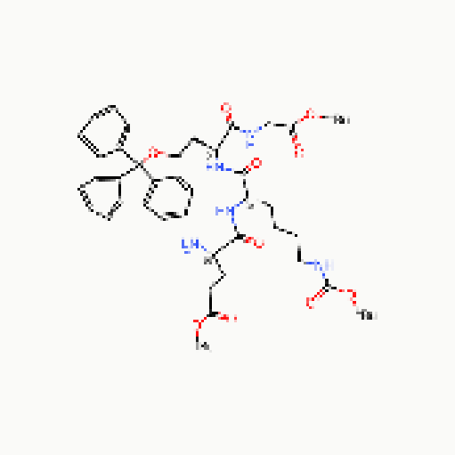 CC(C)(C)OC(=O)CC[C@H](N)C(=O)N[C@@H](CCCCNC(=O)OC(C)(C)C)C(=O)N[C@@H](CCOC(c1ccccc1)(c1ccccc1)c1ccccc1)C(=O)NCC(=O)OC(C)(C)C